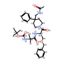 CC(=O)NCC1(c2ccccc2)CCN(C(=O)[C@@H](COCc2ccccc2)NC(=O)C(C)(C)NC(=O)OC(C)(C)C)CC1